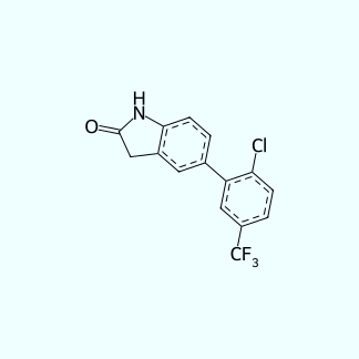 O=C1Cc2cc(-c3cc(C(F)(F)F)ccc3Cl)ccc2N1